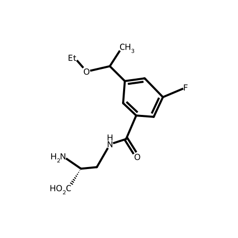 CCOC(C)c1cc(F)cc(C(=O)NC[C@@H](N)C(=O)O)c1